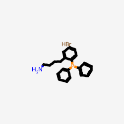 Br.NCCCCc1ccccc1P(c1ccccc1)c1ccccc1